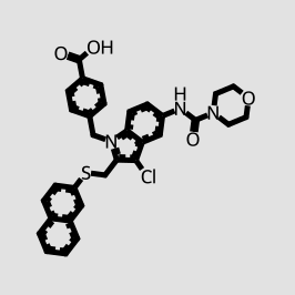 O=C(O)c1ccc(Cn2c(CSc3ccc4ccccc4c3)c(Cl)c3cc(NC(=O)N4CCOCC4)ccc32)cc1